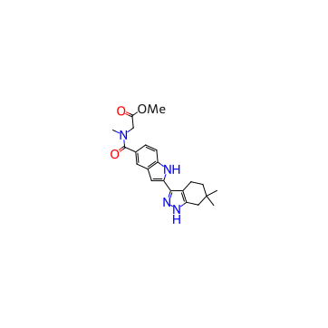 COC(=O)CN(C)C(=O)c1ccc2[nH]c(-c3n[nH]c4c3CCC(C)(C)C4)cc2c1